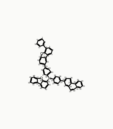 c1ccc(-c2cccc3c2oc2ccc(-c4ccc(N(c5ccc(-c6ccc7c(ccc8ccccc87)c6)cc5)c5cccc6c5oc5ccccc56)cc4)cc23)cc1